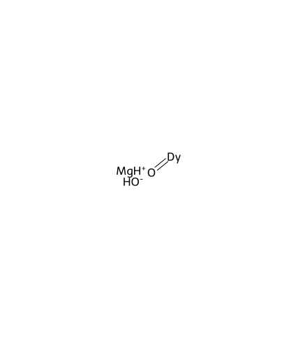 [MgH+].[OH-].[O]=[Dy]